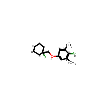 Cc1cc(OCC2(F)CCCCC2)cc(C)c1Br